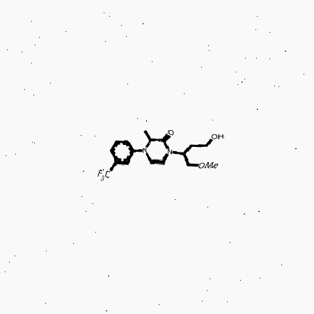 COCC(CCO)N1CCN(c2cccc(C(F)(F)F)c2)C(C)C1=O